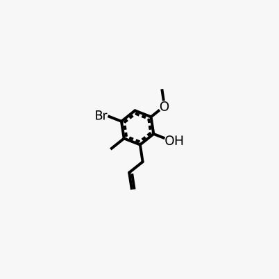 C=CCc1c(C)c(Br)cc(OC)c1O